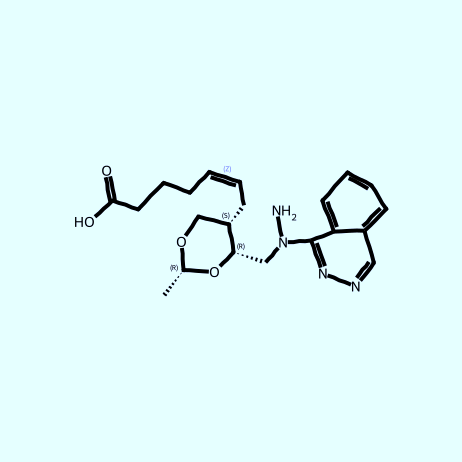 C[C@@H]1OC[C@H](C/C=C\CCCC(=O)O)[C@H](CN(N)c2nncc3ccccc23)O1